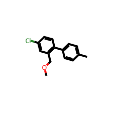 COCc1cc(Cl)ccc1-c1ccc(C)cc1